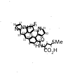 CSCC[C@H](NC(=O)c1ccc(C=C(Cc2ncc[nH]2)c2ccc(F)cc2)cc1-c1cccnc1)C(=O)O